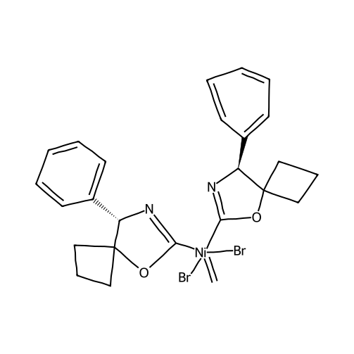 [CH2]=[Ni]([Br])([Br])([C]1=N[C@@H](c2ccccc2)C2(CCC2)O1)[C]1=N[C@@H](c2ccccc2)C2(CCC2)O1